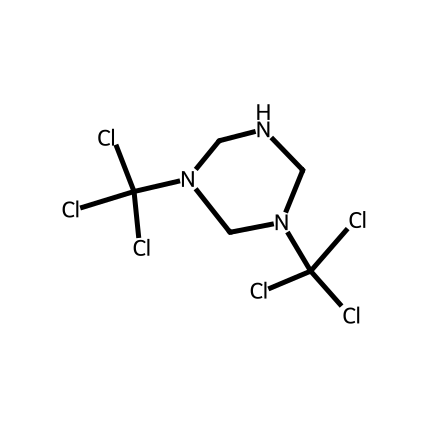 ClC(Cl)(Cl)N1CNCN(C(Cl)(Cl)Cl)C1